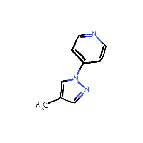 Cc1cnn(-c2ccncc2)c1